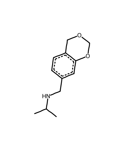 CC(C)NCc1ccc2c(c1)OCOC2